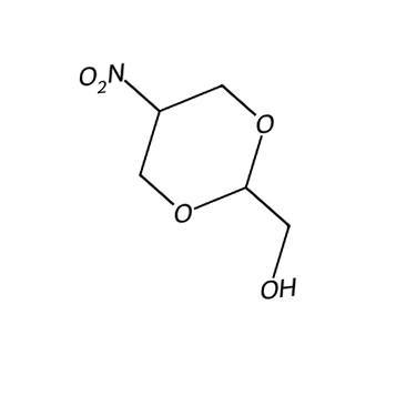 O=[N+]([O-])C1COC(CO)OC1